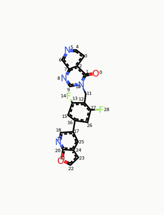 O=c1c2ccncc2ncn1Cc1c(F)cc(-c2cnc3occc3c2)cc1F